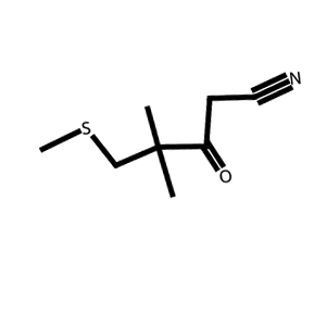 CSCC(C)(C)C(=O)CC#N